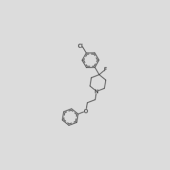 FC1(c2ccc(Cl)cc2)CCN(CCOc2ccccc2)CC1